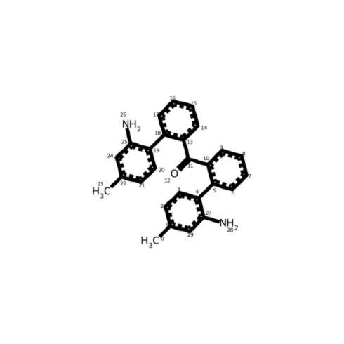 Cc1ccc(-c2ccccc2C(=O)c2ccccc2-c2ccc(C)cc2N)c(N)c1